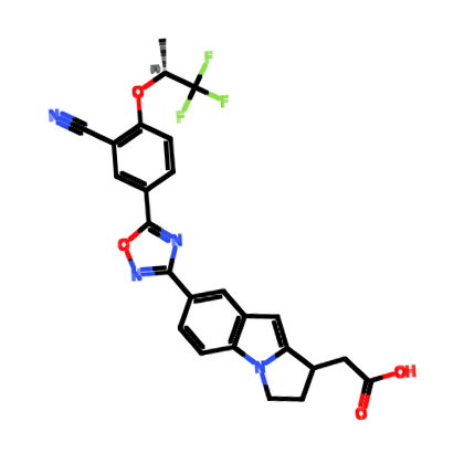 C[C@@H](Oc1ccc(-c2nc(-c3ccc4c(c3)cc3n4CCC3CC(=O)O)no2)cc1C#N)C(F)(F)F